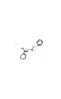 COC(=O)c1c(NC(=O)COc2ccccc2)oc2c1CCCC2